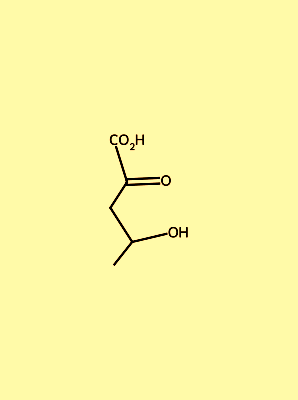 CC(O)CC(=O)C(=O)O